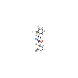 Cc1cccc(C(C)(C)NC(=O)C[C@H]2CCCN2C)c1Cl